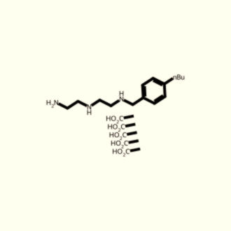 CC(=O)O.CC(=O)O.CC(=O)O.CC(=O)O.CC(=O)O.CCCCc1ccc(CNCCNCCN)cc1